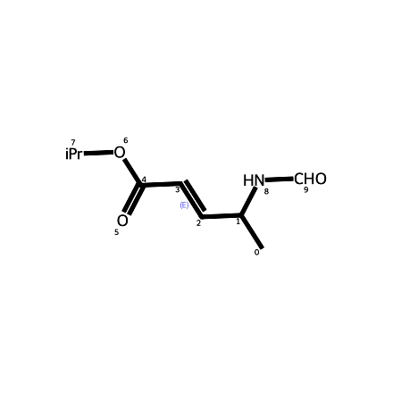 CC(/C=C/C(=O)OC(C)C)NC=O